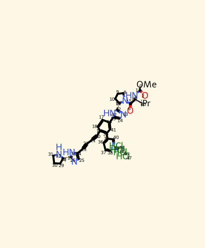 COC(=O)N[C@H](C(=O)N1CCC[C@H]1c1ncc(-c2ccc(C#CC#Cc3cnc([C@@H]4CCCN4)[nH]3)c(-c3cccnc3)c2)[nH]1)C(C)C.Cl.Cl.Cl.Cl